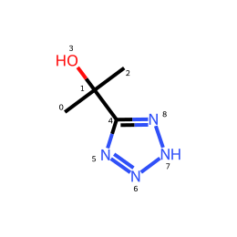 CC(C)(O)c1nn[nH]n1